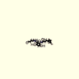 NC(=O)[C@@]1(C/C=C\CCC[C]=O)[C@@H](O)C[C@@H](O)[C@@H]1/C=C/[C@@H](O)CCc1ccc(I)s1